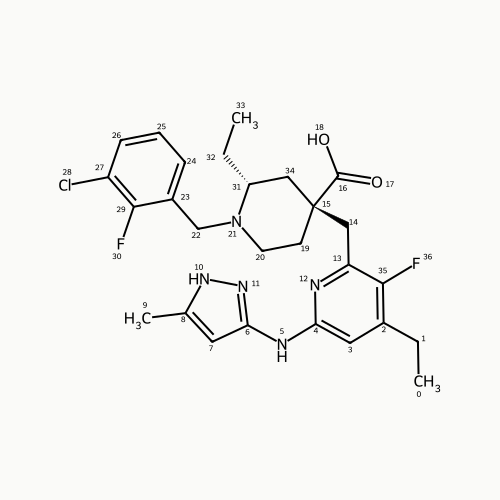 CCc1cc(Nc2cc(C)[nH]n2)nc(C[C@@]2(C(=O)O)CCN(Cc3cccc(Cl)c3F)[C@H](CC)C2)c1F